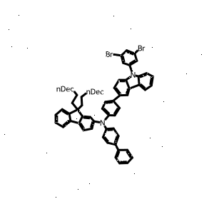 CCCCCCCCCCCCC1(CCCCCCCCCCCC)c2ccccc2-c2ccc(N(c3ccc(-c4ccccc4)cc3)c3ccc(-c4ccc5c(c4)c4ccccc4n5-c4cc(Br)cc(Br)c4)cc3)cc21